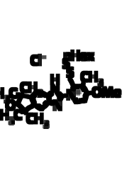 CCCCCCSSCc1c(C)c(OC)cc[n+]1-c1nc2cc3c(cc2[nH]1)C(C)(C)C(=O)C3(C)C.[Cl-]